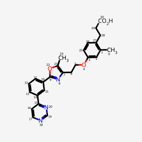 Cc1cc(OCCc2nc(-c3cccc(-c4ccncn4)c3)oc2C)ccc1CCC(=O)O